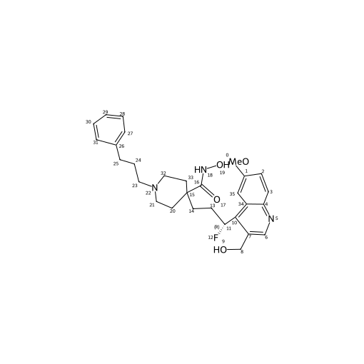 COc1ccc2ncc(CO)c([C@H](F)CCC3(C(=O)NO)CCN(CCCc4ccccc4)CC3)c2c1